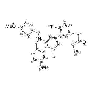 COc1ccc(CN(Cc2ccc(OC)cc2)c2nc(C)nc(-c3cc(CC(=O)OC(C)(C)C)cnc3F)n2)cc1